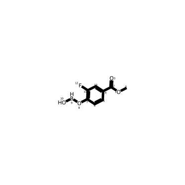 COC(=O)c1ccc(OBO)c(F)c1